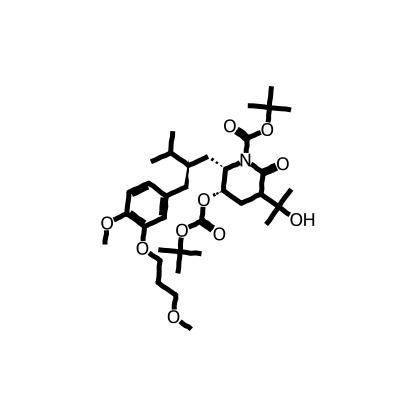 COCCCOc1cc(C[C@H](C[C@H]2[C@@H](OC(=O)OC(C)(C)C)CC(C(C)(C)O)C(=O)N2C(=O)OC(C)(C)C)C(C)C)ccc1OC